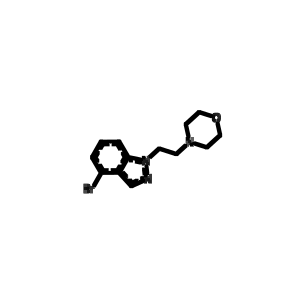 Brc1cccc2c1cnn2CCN1CCOCC1